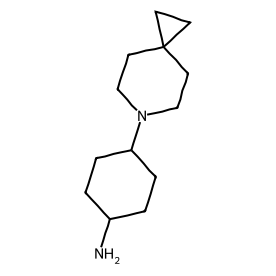 NC1CCC(N2CCC3(CC2)CC3)CC1